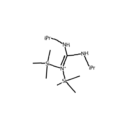 CC(C)NC(NC(C)C)=[N+]([Si](C)(C)C)[Si](C)(C)C